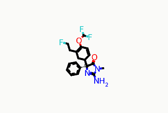 CN1C(=O)[C@](c2ccccc2)(C2C=CC(OC(F)F)=C(CCF)C2)N=C1N